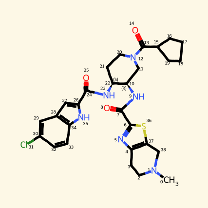 CN1CCc2nc(C(=O)N[C@@H]3CN(C(=O)C4CCCC4)CC[C@@H]3NC(=O)c3cc4cc(Cl)ccc4[nH]3)sc2C1